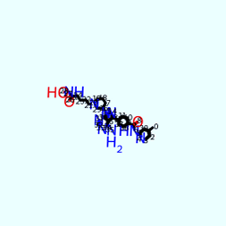 Cc1ccnc(NC(=O)c2ccc(-c3nn(C4CCCN(CCCCC(=O)NO)C4)c4ncnc(N)c34)cc2)c1